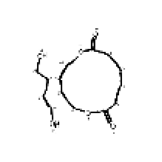 O=C1CCCCC(=O)OCCCCO1.OCCCCO